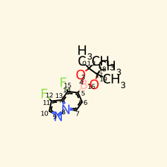 CC1(C)OB(c2ccn3ncc(F)c3c2F)OC1(C)C